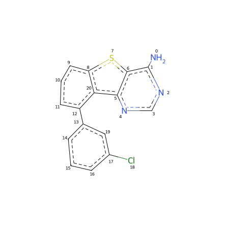 Nc1ncnc2c1sc1cccc(-c3cccc(Cl)c3)c12